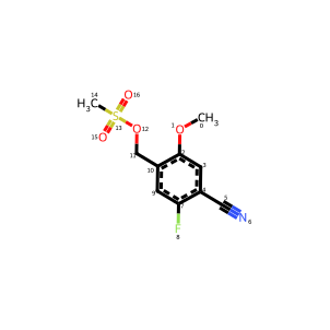 COc1cc(C#N)c(F)cc1COS(C)(=O)=O